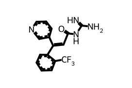 N=C(N)NC(=O)/C=C(\c1cccnc1)c1ccccc1C(F)(F)F